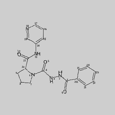 O=C(NNC(=O)N1CCCC1C(=O)Nc1cccnc1)c1ccccc1